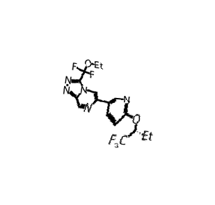 CCOC(F)(F)c1nnc2cnc(-c3ccc(O[C@H](CC)C(F)(F)F)nc3)cn12